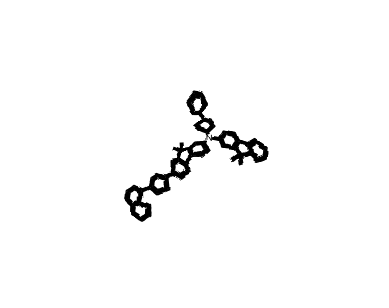 CC1(C)c2ccccc2-c2ccc(N(c3ccc(-c4ccccc4)cc3)c3ccc4c(c3)C(C)(C)c3cc(-c5ccc(-c6cccc7ccccc67)cc5)ccc3-4)cc21